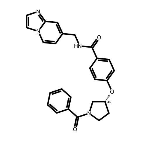 O=C(NCc1ccn2ccnc2c1)c1ccc(O[C@@H]2CCN(C(=O)c3ccccc3)C2)cc1